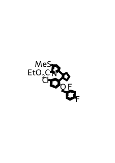 CCOC(=O)c1nc(C2=C(c3cc(Cl)ccc3OCc3ccc(F)cc3F)CCC2)ccc1SC